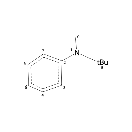 CN(c1cc[c]cc1)C(C)(C)C